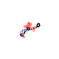 COC1[C@@H](NC(=S)CCN2C(=O)C=CC2=O)C[C@H](COC(=O)OCc2ccccc2)[C@@H]1OP(=O)(O)OC